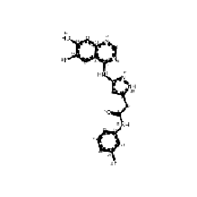 O=C(Cc1cc(Nc2ncnc3cc(O)c(F)cc23)n[nH]1)Nc1cccc(F)c1